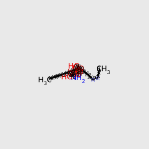 CCCCC/C=C\C/C=C\CCCCCCCC(=O)O[C@@H](CO)C(OP(=O)(O)OC[C@H](N)C(=O)O)C(=O)CCCCCCCCCCCCCCCCC